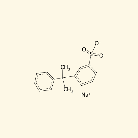 CC(C)(c1ccccc1)c1cccc(S(=O)(=O)[O-])c1.[Na+]